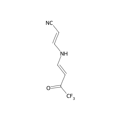 N#CC=CNC=CC(=O)C(F)(F)F